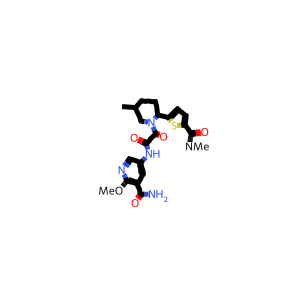 CNC(=O)c1ccc(C2CCC(C)CN2C(=O)C(=O)Nc2cnc(OC)c(C(N)=O)c2)s1